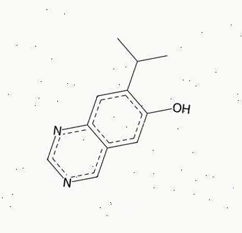 CC(C)c1cc2ncncc2cc1O